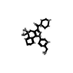 O=C(c1nn(-c2ccc(CO)nc2)c2c1CS(O)(O)c1ccccc1-2)N1CCOCC1